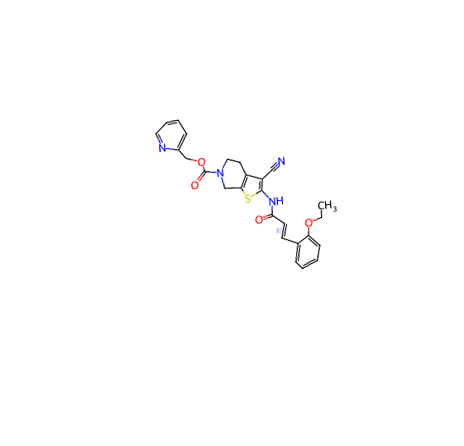 CCOc1ccccc1/C=C/C(=O)Nc1sc2c(c1C#N)CCN(C(=O)OCc1ccccn1)C2